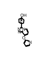 OC12CCC(c3nnc4c(Oc5cccnc5)cccn34)(CC1)CC2